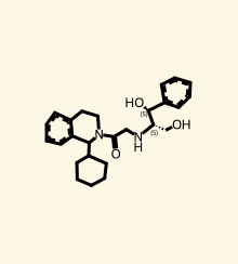 O=C(CN[C@@H](CO)[C@@H](O)c1ccccc1)N1CCc2ccccc2C1C1CCCCC1